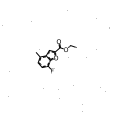 CCOC(=O)c1cc2c(C)ccc(F)c2o1